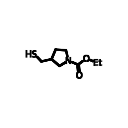 CCOC(=O)N1CCC(CS)C1